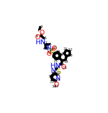 CCOC(=O)CNC1CN(S(=O)(=O)c2ccc(C(CC3CCCC3)C(=O)Nc3nc4ccc(OC)nc4s3)cc2)C1